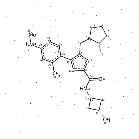 C[C@H]1CCCN1Cc1nc(C(=O)N[C@H]2C[C@@H](O)C2)sc1-c1cnc(NC(C)(C)C)cc1C(F)(F)F